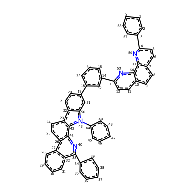 c1ccc(-c2ccc3ccc4ccc(-c5cccc(-c6ccc7c8ccc9c%10ccccc%10c(-c%10ccccc%10)nc9c8n(-c8ccccc8)c7c6)c5)nc4c3n2)cc1